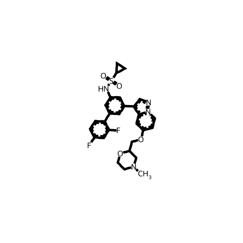 CN1CCOC(COc2ccn3ncc(-c4cc(NS(=O)(=O)C5CC5)cc(-c5ccc(F)cc5F)c4)c3c2)C1